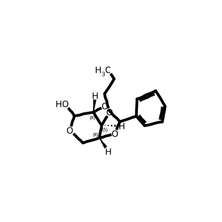 CCCO[C@H]1[C@H]2COC(O)[C@@H]1OC(c1ccccc1)O2